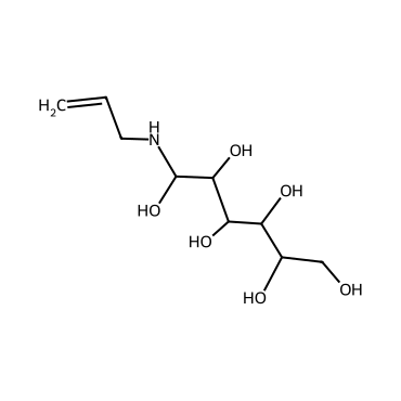 C=CCNC(O)C(O)C(O)C(O)C(O)CO